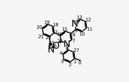 Cc1cccc(-n2cc(-c3ccccn3)cc(-c3ccccc3C#N)c2=O)c1